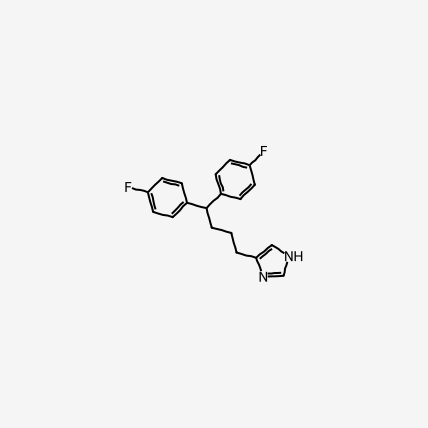 Fc1ccc(C(CCCc2c[nH]cn2)c2ccc(F)cc2)cc1